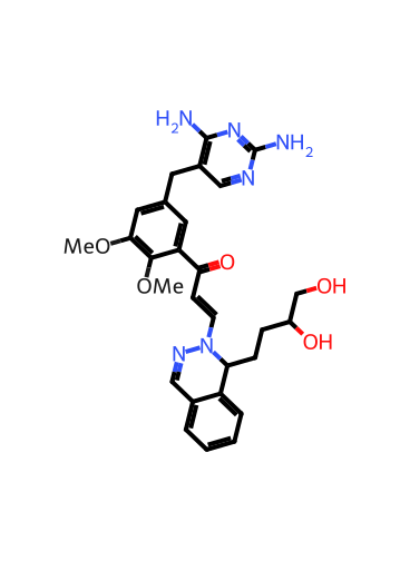 COc1cc(Cc2cnc(N)nc2N)cc(C(=O)/C=C/N2N=Cc3ccccc3C2CCC(O)CO)c1OC